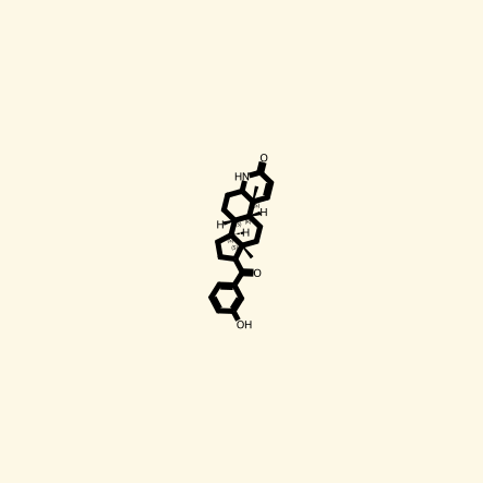 C[C@]12C=CC(=O)NC1CC[C@@H]1[C@H]2CC[C@]2(C)C(C(=O)c3cccc(O)c3)CC[C@@H]12